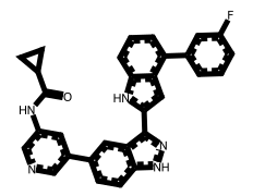 O=C(Nc1cncc(-c2ccc3[nH]nc(-c4cc5c(-c6cccc(F)c6)cccc5[nH]4)c3c2)c1)C1CC1